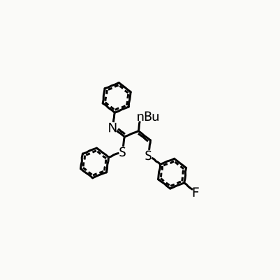 CCCCC(=CSc1ccc(F)cc1)/C(=N\c1ccccc1)Sc1ccccc1